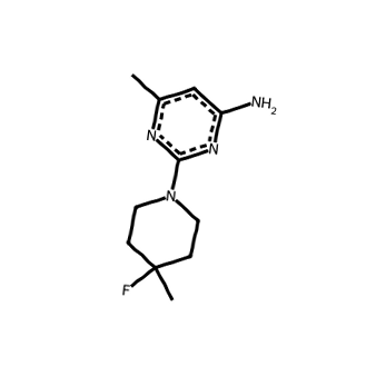 Cc1cc(N)nc(N2CCC(C)(F)CC2)n1